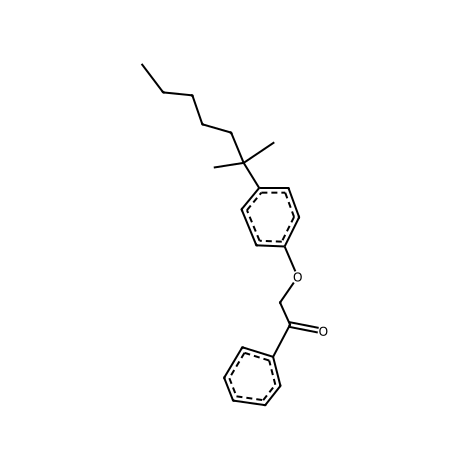 CCCCCC(C)(C)c1ccc(OCC(=O)c2ccccc2)cc1